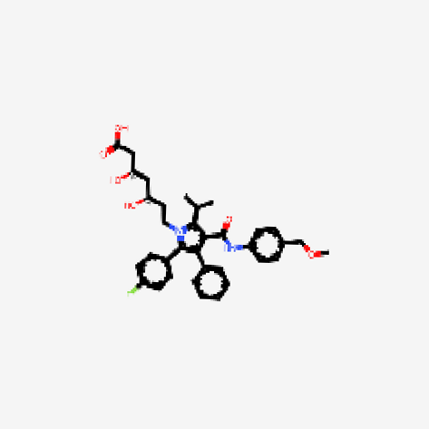 COCc1ccc(NC(=O)c2c(-c3ccccc3)c(-c3ccc(F)cc3)n(CC[C@@H](O)C[C@@H](O)CC(=O)O)c2C(C)C)cc1